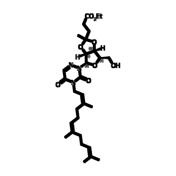 CCOC(=O)CCC1(C)O[C@@H]2[C@H](O1)[C@@H](CO)O[C@H]2n1ncc(=O)n(CC=C(C)CCC=C(C)CCC=C(C)C)c1=O